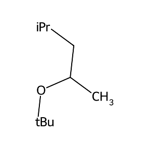 CC(C)CC(C)OC(C)(C)C